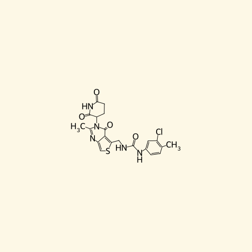 Cc1ccc(NC(=O)NCc2scc3nc(C)n(C4CCC(=O)NC4=O)c(=O)c23)cc1Cl